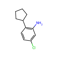 Nc1cc(Cl)ccc1C1CCCC1